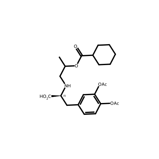 CC(=O)Oc1ccc(C[C@H](NCC(C)OC(=O)C2CCCCC2)C(=O)O)cc1OC(C)=O